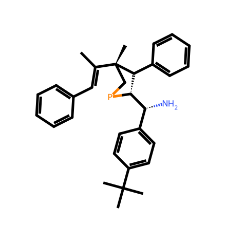 CC1=C(c2ccccc2)[P@@]2C[C@@]1(C)C(c1ccccc1)[C@@H]2[C@H](N)c1ccc(C(C)(C)C)cc1